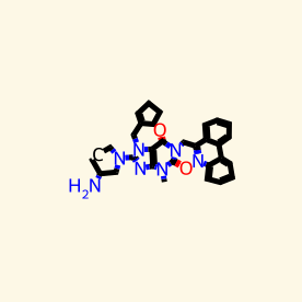 Cn1c(=O)n(Cc2nc3ccccc3c3ccccc23)c(=O)c2c1nc(N1CCCC(N)C1)n2CC1=CCCC1